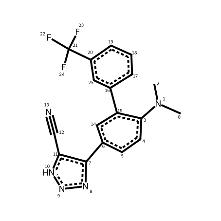 CN(C)c1ccc(-c2nn[nH]c2C#N)cc1-c1cccc(C(F)(F)F)c1